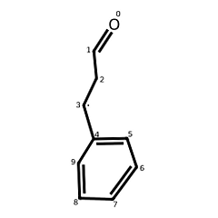 O=CC[CH]c1ccccc1